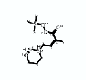 CC(=CC[SiH]1CCCO[SiH2]1)C(=O)OO[Si](C)(C)C